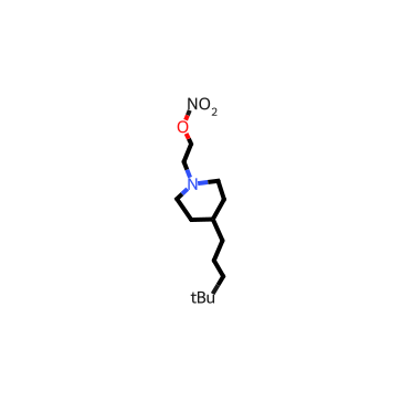 CC(C)(C)CCCC1CCN(CCO[N+](=O)[O-])CC1